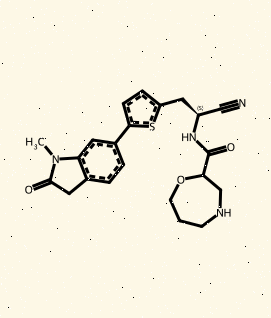 CN1C(=O)Cc2ccc(-c3ccc(C[C@@H](C#N)NC(=O)C4CNCCCO4)s3)cc21